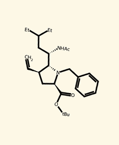 C=C[C@@H]1C[C@H](C(=O)OC(C)(C)C)N(Cc2ccccc2)[C@H]1[C@H](CC(CC)CC)NC(C)=O